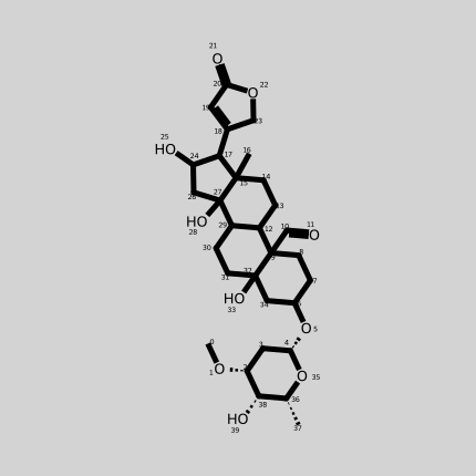 CO[C@@H]1C[C@H](OC2CCC3(C=O)C4CCC5(C)C(C6=CC(=O)OC6)C(O)CC5(O)C4CCC3(O)C2)O[C@H](C)[C@@H]1O